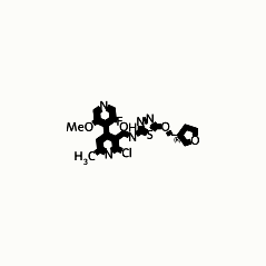 COc1cncc(F)c1-c1cc(C)nc(Cl)c1C(=O)Nc1nnc(OC[C@@H]2CCOC2)s1